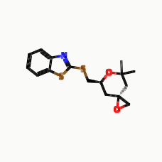 CC1(C)C[C@@]2(CO2)C[C@@H](CSc2nc3ccccc3s2)O1